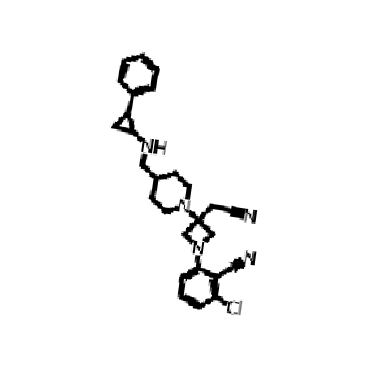 N#CCC1(N2CCC(CNC3CC3c3ccccc3)CC2)CN(c2cccc(Cl)c2C#N)C1